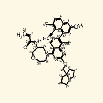 C#Cc1c(F)ccc2cc(O)cc(-c3ncc4c(N5CCOC[C@@H](NC(=O)C=C)C5)nc(OCC56CCCN5CCC6)nc4c3F)c12